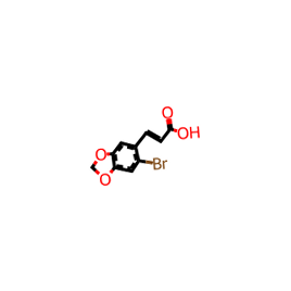 O=C(O)C=Cc1cc2c(cc1Br)OCO2